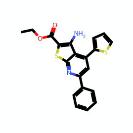 CCOC(=O)c1sc2nc(-c3ccccc3)cc(-c3cccs3)c2c1N